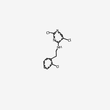 Clc1ncc(Cl)c(NCCc2ccccc2Cl)n1